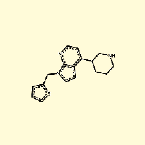 c1csc(Cn2ccc3c(C4CCCNC4)ccnc32)c1